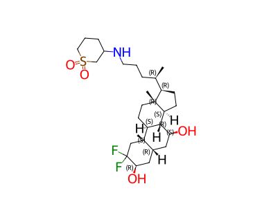 C[C@H](CCCNC1CCCS(=O)(=O)C1)[C@H]1CC[C@H]2[C@@H]3[C@@H](O)C[C@@H]4C[C@@H](O)C(F)(F)C[C@]4(C)[C@H]3CC[C@]12C